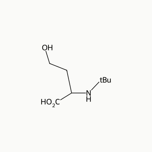 CC(C)(C)NC(CCO)C(=O)O